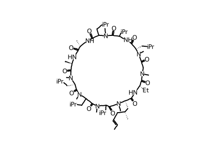 C/C=C/C[C@@H](C)C[C@H]1C(=O)N[C@@H](CC)C(=O)N(C)CC(=O)N(C)[C@@H](CC(C)C)C(=O)NC(C(C)C)C(=O)N(C)C(CC(C)C)C(=O)N[C@@H](C)C(=O)N[C@H](C)C(=O)N(C)[C@@H](CC(C)C)C(=O)N(C)C(CC(C)C)C(=O)N(C)C(C(C)C)C(=O)N1C